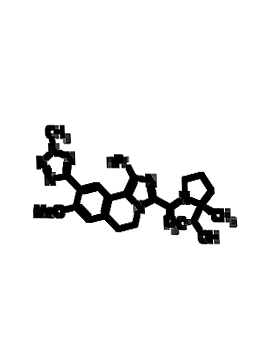 CCCc1nc(C(=O)N2CCC[C@]2(C)[C@H](O)C(F)(F)F)n2c1-c1cc(-c3nnn(C)n3)c(OC)cc1CC2